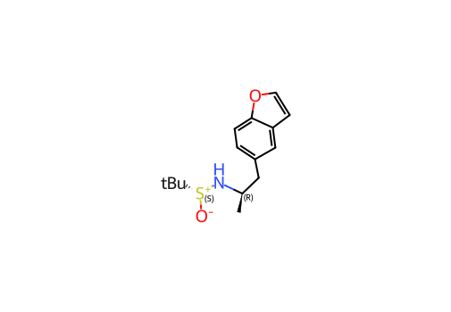 C[C@H](Cc1ccc2occc2c1)N[S@+]([O-])C(C)(C)C